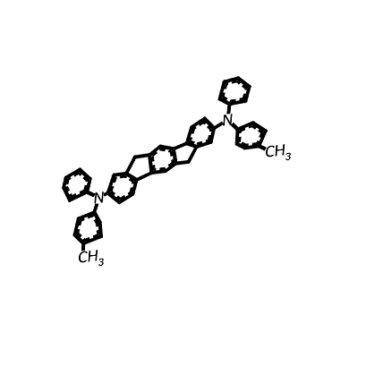 Cc1ccc(N(c2ccccc2)c2ccc3c(c2)Cc2cc4c(cc2-3)Cc2cc(N(c3ccccc3)c3ccc(C)cc3)ccc2-4)cc1